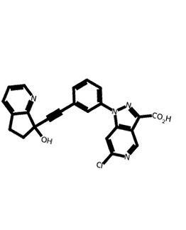 O=C(O)c1nn(-c2cccc(C#CC3(O)CCc4cccnc43)c2)c2cc(Cl)ncc12